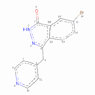 O=c1[nH]nc(Cc2ccncc2)c2ccc(Br)cc12